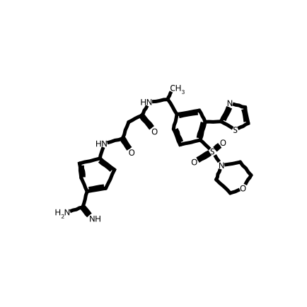 CC(NC(=O)CC(=O)Nc1ccc(C(=N)N)cc1)c1ccc(S(=O)(=O)N2CCOCC2)c(-c2nccs2)c1